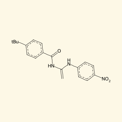 C=C(NC(=O)c1ccc(C(C)(C)C)cc1)Nc1ccc([N+](=O)[O-])cc1